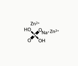 O=S(=O)(O)O.[Na+].[Zn+2].[Zn+2]